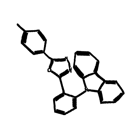 Cc1ccc(-c2nnc(-c3ccccc3-n3c4ccccc4c4ccccc43)o2)cc1